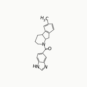 Cc1ccc2c(c1)C1CCCN(C(=O)c3ccc4[nH]cnc4c3)C1C2